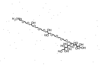 CNCCOCCOCC(O)COCCOCCOCC(O)C(O)COCCOCCOCCOCCN(C[C@H](O)[C@@H](O)[C@H](O)[C@H](O)CO)C[C@H](O)[C@@H](O)[C@H](O)[C@H](O)CO